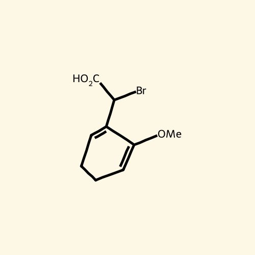 COC1=CCCC=C1C(Br)C(=O)O